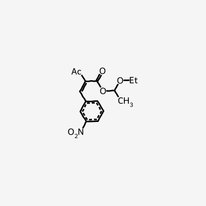 CCOC(C)OC(=O)C(=Cc1cccc([N+](=O)[O-])c1)C(C)=O